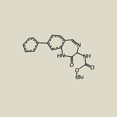 CC(C)(C)OC(=O)NC1N=Cc2ccc(-c3ccccc3)cc2NC1=O